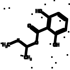 CSC(C)OC(=O)c1c(O)cccc1O